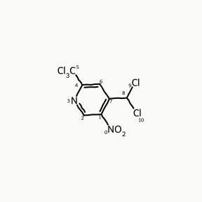 O=[N+]([O-])c1cnc(C(Cl)(Cl)Cl)cc1C(Cl)Cl